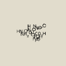 N=C(N)c1ccc(NC(=O)c2cc3ncn(COCc4ccccc4)c3cc2-c2ccccc2C(=O)O)cc1.O=C(O)C(F)(F)F